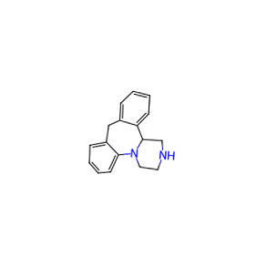 c1ccc2c(c1)Cc1ccccc1N1CCNCC21